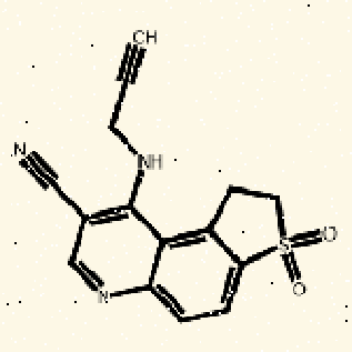 C#CCNc1c(C#N)cnc2ccc3c(c12)CCS3(=O)=O